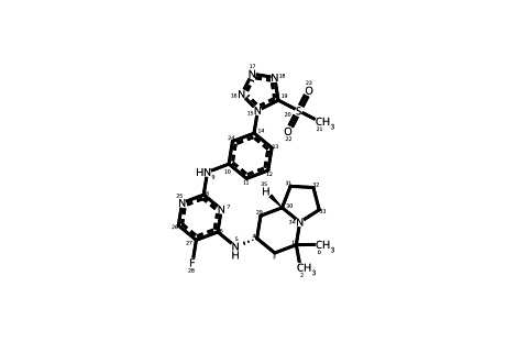 CC1(C)C[C@H](Nc2nc(Nc3cccc(-n4nnnc4S(C)(=O)=O)c3)ncc2F)C[C@@H]2CCCN21